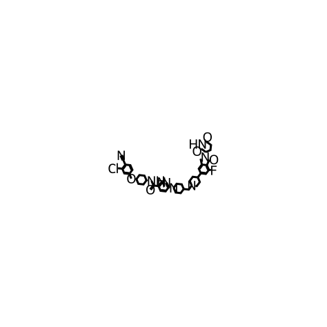 N#Cc1ccc(O[C@H]2CC[C@H](NC(=O)c3ccc(N4CCC(CN5CCC(c6cc(F)c7c(c6)CN(C6CCC(=O)NC6=O)C7=O)CC5)CC4)nn3)CC2)cc1Cl